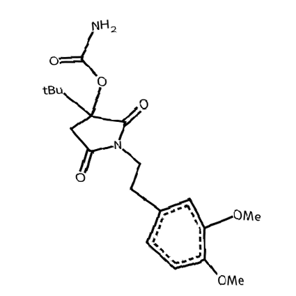 COc1ccc(CCN2C(=O)CC(OC(N)=O)(C(C)(C)C)C2=O)cc1OC